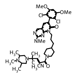 CNc1ncc2cc(-c3c(Cl)c(OC)cc(OC)c3Cl)c(=O)n(CCCC3CCN(C(=O)C(C#N)=CC(C)(C)N4CC(C)N(C)C(C)C4)CC3)c2n1